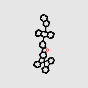 c1ccc2c(c1)-c1ccccc1C21c2ccccc2-c2cc3c(cc21)oc1cc(-c2c4ccccc4c(-c4ccc5ccccc5c4)c4ccccc24)ccc13